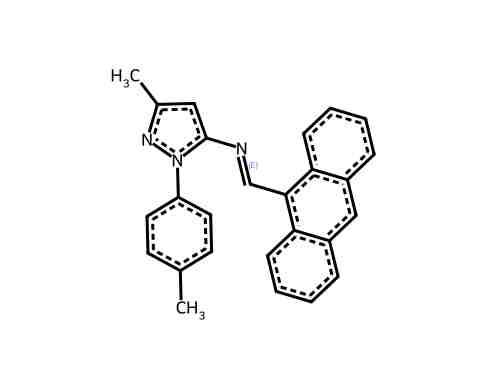 Cc1ccc(-n2nc(C)cc2/N=C/c2c3ccccc3cc3ccccc23)cc1